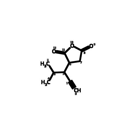 C#CC(C(C)C)C1CC(=O)OC1=O